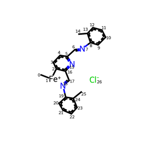 [CH3][Fe+][c]1ccc(C=Nc2ccccc2C)nc1C=Nc1ccccc1C.[Cl-]